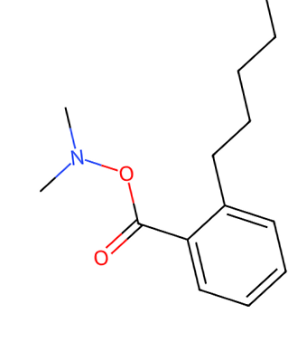 CCCCCc1ccccc1C(=O)ON(C)C